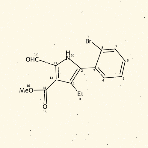 CCc1c(-c2ccccc2Br)[nH]c(C=O)c1C(=O)OC